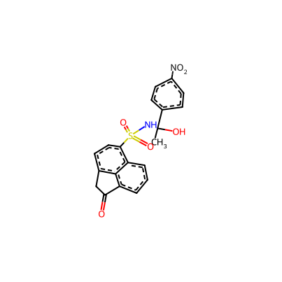 CC(O)(NS(=O)(=O)c1ccc2c3c(cccc13)C(=O)C2)c1ccc([N+](=O)[O-])cc1